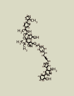 Cc1ncsc1-c1ccc([C@H](C)NC(=O)[C@@H]2C[C@@H](O)CN2C(=O)[C@H](c2cc(OCCN3CCN(CCC#CCn4cc(-c5cc(-c6ccccc6O)nnc5N)cn4)CC3)no2)C(C)C)cn1